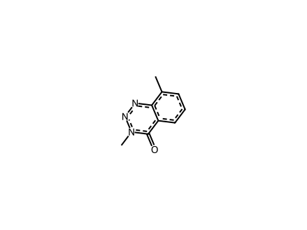 Cc1cccc2c(=O)n(C)nnc12